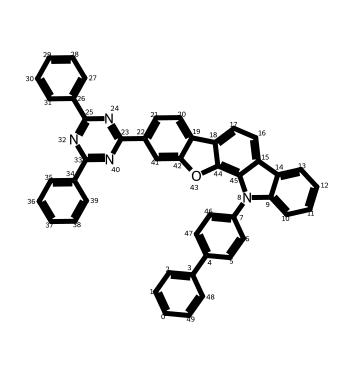 c1ccc(-c2ccc(-n3c4ccccc4c4ccc5c6ccc(-c7nc(-c8ccccc8)nc(-c8ccccc8)n7)cc6oc5c43)cc2)cc1